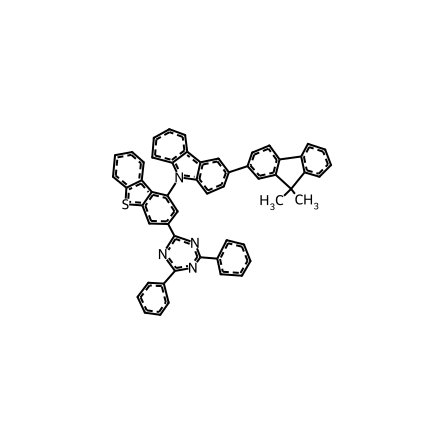 CC1(C)c2ccccc2-c2ccc(-c3ccc4c(c3)c3ccccc3n4-c3cc(-c4nc(-c5ccccc5)nc(-c5ccccc5)n4)cc4sc5ccccc5c34)cc21